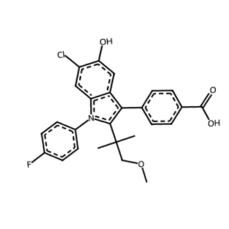 COCC(C)(C)c1c(-c2ccc(C(=O)O)cc2)c2cc(O)c(Cl)cc2n1-c1ccc(F)cc1